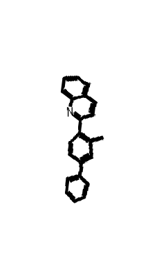 Cc1cc(-c2ccccc2)ccc1-c1ccc2ccccc2n1